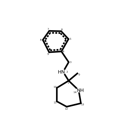 CC1(NCc2ccccc2)CCCCN1